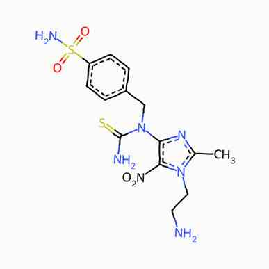 Cc1nc(N(Cc2ccc(S(N)(=O)=O)cc2)C(N)=S)c([N+](=O)[O-])n1CCN